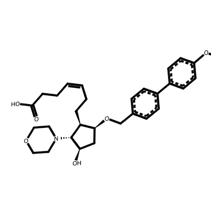 COc1ccc(-c2ccc(CO[C@H]3C[C@@H](O)[C@H](N4CCOCC4)[C@H]3CC/C=C\CCC(=O)O)cc2)cc1